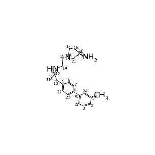 Cc1cccc(-c2ccc(C3C[C@@H]3NCCN3CC[C@@H](N)C3)cc2)c1